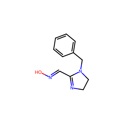 ON=CC1=NCCN1Cc1ccccc1